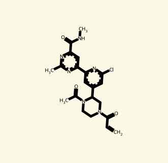 C=CC(=O)N1CCN(C(C)=O)C(c2cc(Cl)nc(-c3cc(C(=O)NC)nc(C)n3)c2)C1